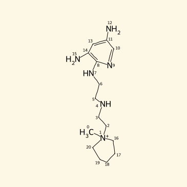 C[N+]1(CCNCCNc2ncc(N)cc2N)CCCCC1